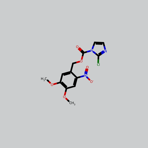 COc1cc(COC(=O)n2ccnc2Cl)c([N+](=O)[O-])cc1OC